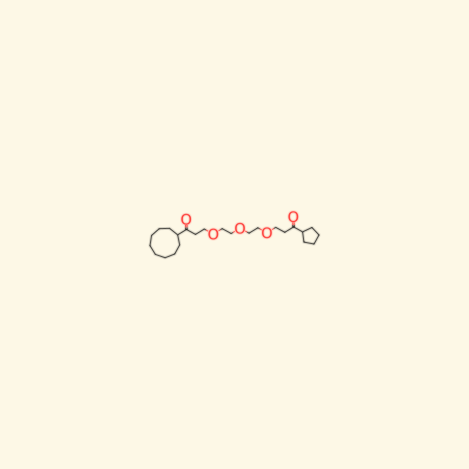 O=C(CCOCCOCCOCCC(=O)C1CCCC1)C1CCCCCCCC1